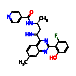 Cc1ccc2c(C(=N)C[C@@H](C)NC(=O)c3ccncc3)nc(-c3c(O)cccc3F)nc2c1